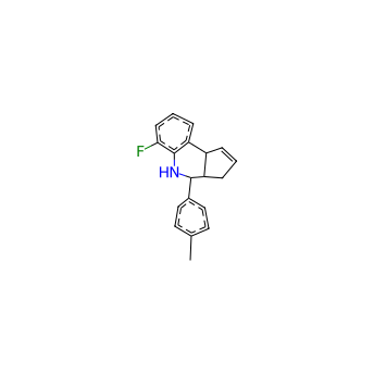 Cc1ccc(C2Nc3c(F)cccc3C3C=CCC32)cc1